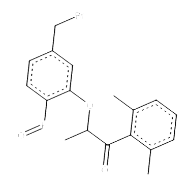 Cc1cccc(C)c1C(=O)C(C)Oc1cc(CBr)ccc1P=O